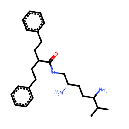 CC(C)C(N)CC[C@H](N)CNC(=O)C(CCc1ccccc1)CCc1ccccc1